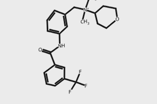 C[N+](C)(Cc1cccc(NC(=O)c2cccc(C(F)(F)F)c2)c1)C1CCOCC1